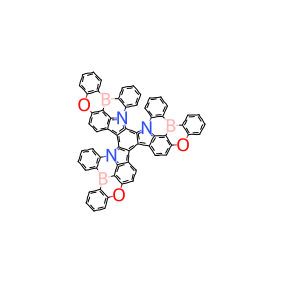 c1ccc2c(c1)Oc1ccc3c4c5c6ccc7c8c6n(c5c5c(c6ccc9c%10c6n5-c5ccccc5B%10c5ccccc5O9)c4n4c3c1B2c1ccccc1-4)-c1ccccc1B8c1ccccc1O7